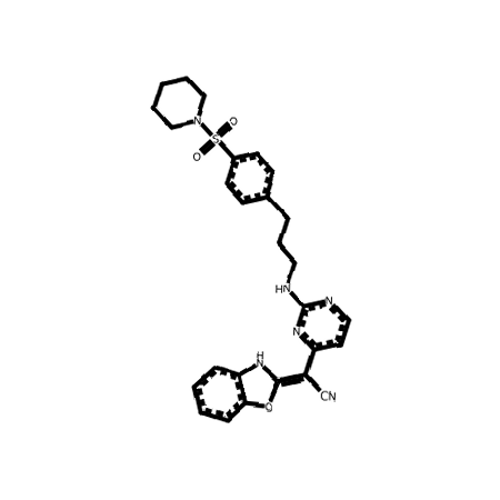 N#CC(=C1Nc2ccccc2O1)c1ccnc(NCCCc2ccc(S(=O)(=O)N3CCCCC3)cc2)n1